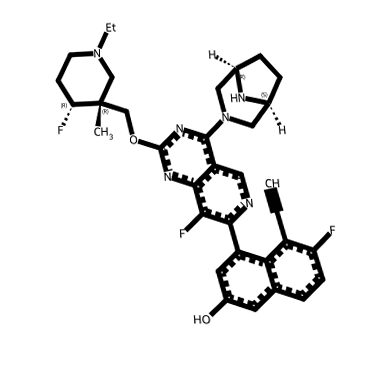 C#Cc1c(F)ccc2cc(O)cc(-c3ncc4c(N5C[C@H]6CC[C@@H](C5)N6)nc(OC[C@@]5(C)CN(CC)CC[C@H]5F)nc4c3F)c12